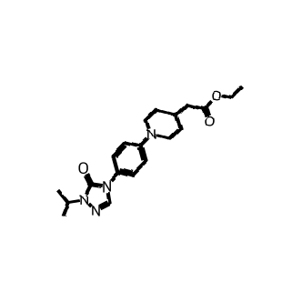 CCOC(=O)CC1CCN(c2ccc(-n3cnn(C(C)C)c3=O)cc2)CC1